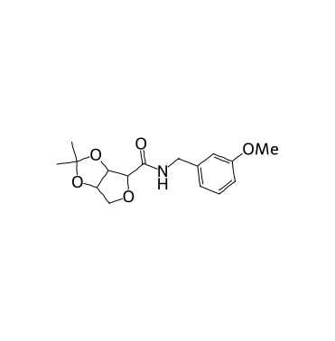 COc1cccc(CNC(=O)C2OCC3OC(C)(C)OC32)c1